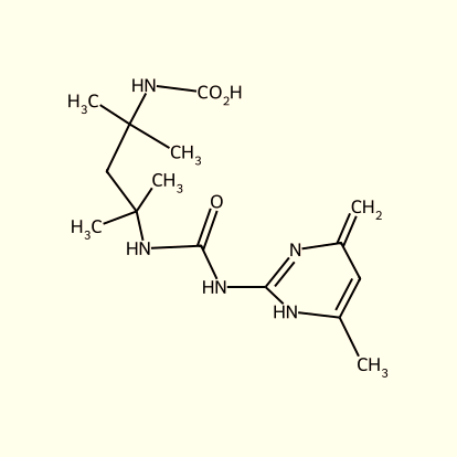 C=C1C=C(C)NC(NC(=O)NC(C)(C)CC(C)(C)NC(=O)O)=N1